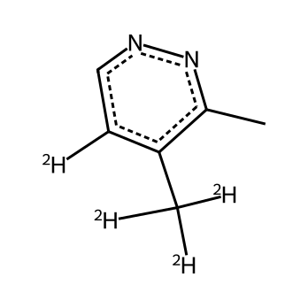 [2H]c1cnnc(C)c1C([2H])([2H])[2H]